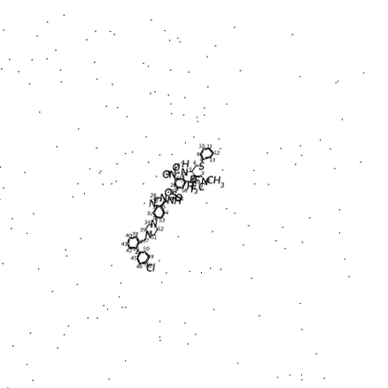 CN(C)CC[C@H](CSc1ccccc1)Nc1c([N+](=O)[O-])cc(S(=O)(=O)Nc2ncnc3cc(N4CCN(Cc5ccccc5-c5ccc(Cl)cc5)CC4)ccc23)cc1C(F)(F)F